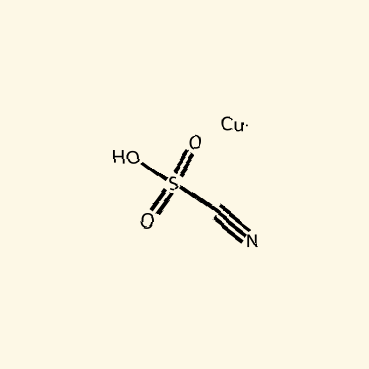 N#CS(=O)(=O)O.[Cu]